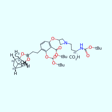 CC(C)(C)OC(=O)N[C@@H](CCN1CC(Oc2ccc(CCB3O[C@@H]4C[C@@H]5C[C@@H](C5(C)C)[C@]4(C)O3)c(OC(=O)OC(C)(C)C)c2C(=O)OC(C)(C)C)C1)C(=O)O